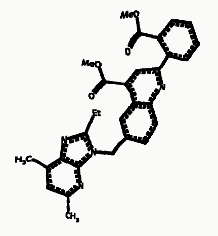 CCc1nc2c(C)cc(C)nc2n1Cc1ccc2nc(-c3ccccc3C(=O)OC)cc(C(=O)OC)c2c1